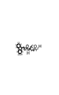 CC(C)C[C@H](CC(=O)O)NC(=O)OCC1c2ccccc2-c2ccccc21